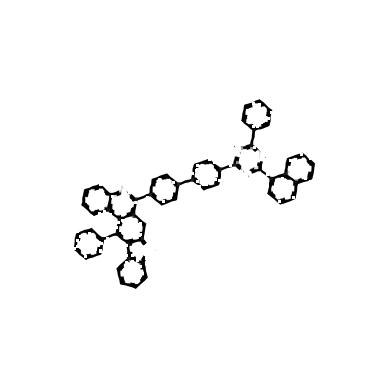 c1ccc(-c2nc(-c3ccc(-c4ccc(-c5nc6ccccc6c6c(-c7ccccc7)c7c(cc56)oc5ccccc57)cc4)cc3)nc(-c3cccc4ccccc34)n2)cc1